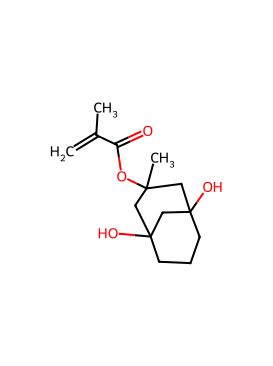 C=C(C)C(=O)OC1(C)CC2(O)CCCC(O)(C2)C1